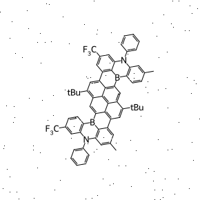 Cc1ccc2c(c1)N(c1ccccc1)c1cc(C(F)(F)F)cc3c1B2c1cc2c(C(C)(C)C)cc4c5c(cc6c(C(C)(C)C)cc-3c1c6c25)B1c2ccc(C(F)(F)F)cc2N(c2ccccc2)c2cc(C)cc-4c21